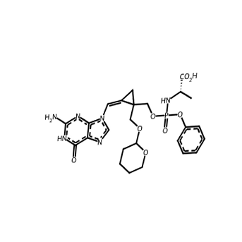 C[C@H](NP(=O)(OCC1(COC2CCCCO2)C/C1=C/n1cnc2c(=O)[nH]c(N)nc21)Oc1ccccc1)C(=O)O